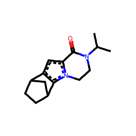 CC(C)N1CCn2c(cc3c2C2CCC3C2)C1=O